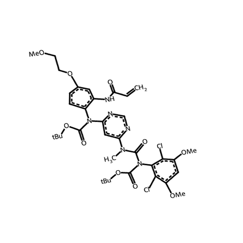 C=CC(=O)Nc1cc(OCCOC)ccc1N(C(=O)OC(C)(C)C)c1cc(N(C)C(=O)N(C(=O)OC(C)(C)C)c2c(Cl)c(OC)cc(OC)c2Cl)ncn1